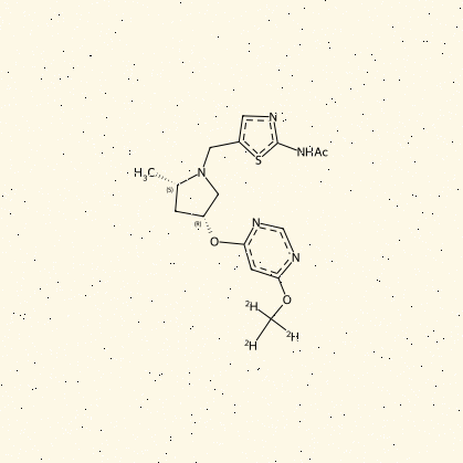 [2H]C([2H])([2H])Oc1cc(O[C@@H]2C[C@H](C)N(Cc3cnc(NC(C)=O)s3)C2)ncn1